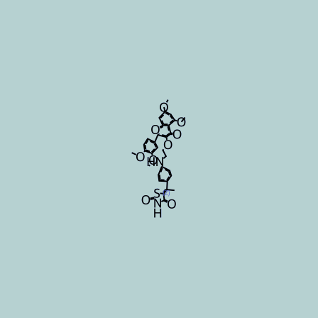 COc1cc(OC)c2c(=O)c(OCCNc3ccc(/C(C)=C4\SC(=O)NC4=O)cc3)c(-c3ccc(OC)c(OC)c3)oc2c1